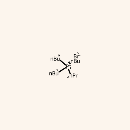 CCCC[P+](CCC)(CCCC)CCCC.[Br-]